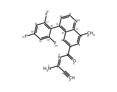 C#C/C(N)=N\C(=O)c1cc(C)c2nccc(-c3c(F)cc(F)cc3F)c2c1